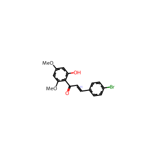 COc1cc(O)c(C(=O)/C=C/c2ccc(Br)cc2)c(OC)c1